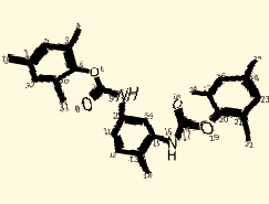 Cc1cc(C)c(OC(=O)Nc2ccc(C)c(NC(=O)Oc3c(C)cc(C)cc3C)c2)c(C)c1